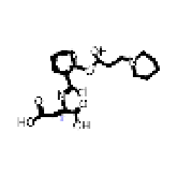 O=C(O)/C=C(\N=C(Cl)c1cccnc1OC(O)CCN1CCCCC1)C(=O)O